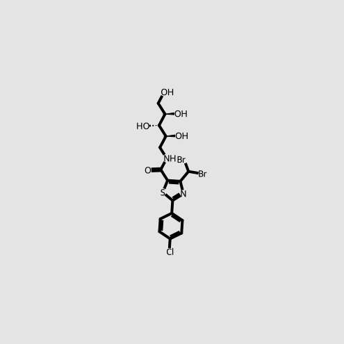 O=C(NC[C@H](O)[C@H](O)[C@H](O)CO)c1sc(-c2ccc(Cl)cc2)nc1C(Br)Br